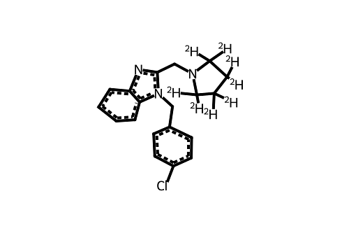 [2H]C1([2H])N(Cc2nc3ccccc3n2Cc2ccc(Cl)cc2)C([2H])([2H])C([2H])([2H])C1([2H])[2H]